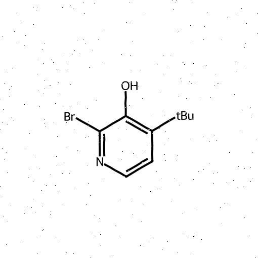 CC(C)(C)c1ccnc(Br)c1O